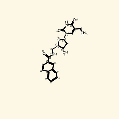 CCc1cn([C@H]2C[C@H](O)[C@@H](CNC(=O)c3ccc4ccccc4c3)O2)c(=O)[nH]c1=O